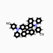 N#Cc1ccc(N(c2ccccc2)c2ccc3c(c2)C2(c4ccccc4-c4ccccc42)c2cc(N(c4ccccc4)c4ccc(C#N)cc4)c4ccccc4c2-3)cc1